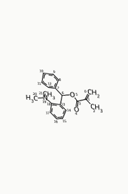 C=C(C)C(=O)OC(c1ccccc1)c1ccccc1N(C)C